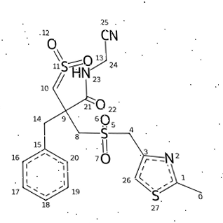 Cc1nc(CS(=O)(=O)CC(C=S(=O)=O)(Cc2ccccc2)C(=O)NCC#N)cs1